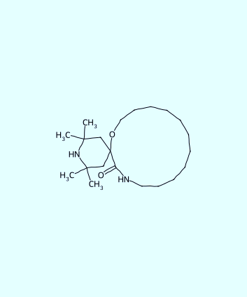 CC1(C)CC2(CC(C)(C)N1)OCCCCCCCCCCCNC2=O